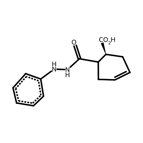 O=C(NNc1ccccc1)C1CC=CC[C@@H]1C(=O)O